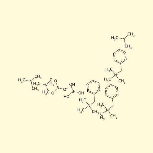 CN(C)C.CN(C)C.CN(C)C.C[N+](C)(C)Cc1ccccc1.C[N+](C)(C)Cc1ccccc1.C[N+](C)(C)Cc1ccccc1.OB(O)O.[O-]B([O-])[O-]